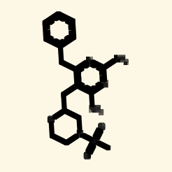 CS(=O)(=O)N1CCOC(Cc2c(N)nc(N)nc2Cc2ccccc2)C1